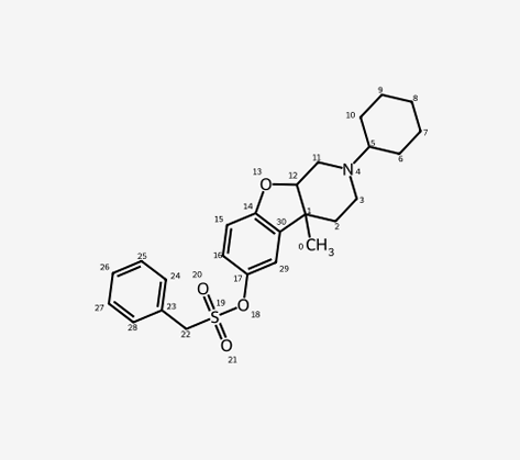 CC12CCN(C3CCCCC3)CC1Oc1ccc(OS(=O)(=O)Cc3ccccc3)cc12